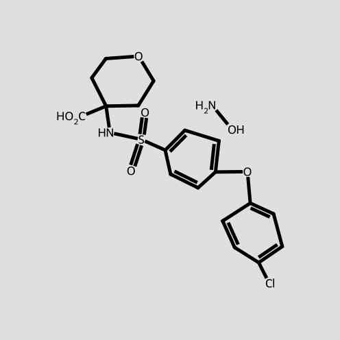 NO.O=C(O)C1(NS(=O)(=O)c2ccc(Oc3ccc(Cl)cc3)cc2)CCOCC1